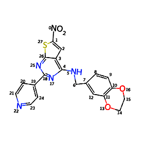 O=[N+]([O-])c1cc2c(NCc3ccc4c(c3)OCCO4)nc(-c3ccncc3)nc2s1